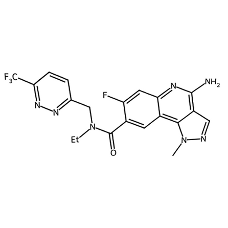 CCN(Cc1ccc(C(F)(F)F)nn1)C(=O)c1cc2c(cc1F)nc(N)c1cnn(C)c12